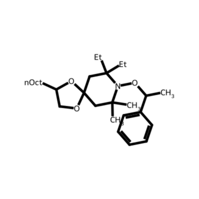 CCCCCCCCC1COC2(CC(C)(C)N(OC(C)c3ccccc3)C(CC)(CC)C2)O1